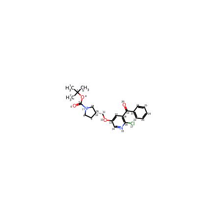 CC(C)(C)OC(=O)N1CC[C@@H](COc2cnc(Cl)c(C(=O)c3ccccc3)c2)C1